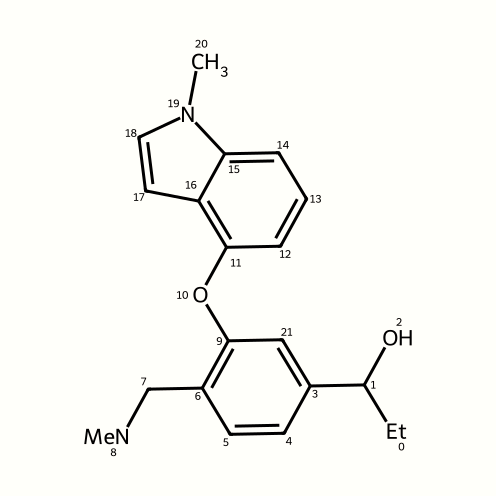 CCC(O)c1ccc(CNC)c(Oc2cccc3c2ccn3C)c1